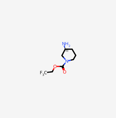 N[C@H]1CCCN(C(=O)OCC(F)(F)F)C1